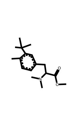 COC(=O)C(Cc1ccc(C)c(C(C)(C)C)c1)N(C)C